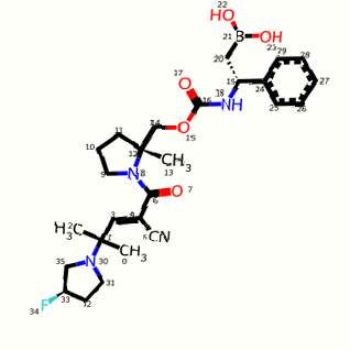 CC(C)(C=C(C#N)C(=O)N1CCC[C@]1(C)COC(=O)N[C@H](CB(O)O)c1ccccc1)N1CC[C@@H](F)C1